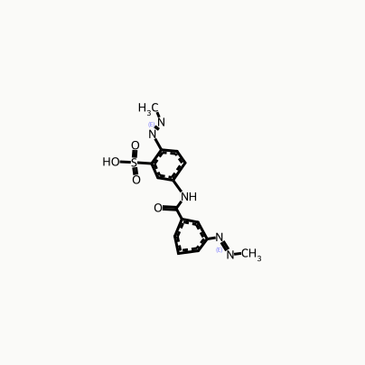 C/N=N/c1cccc(C(=O)Nc2ccc(/N=N/C)c(S(=O)(=O)O)c2)c1